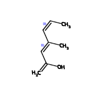 C=C(O)/C=C(C)/C=C\C